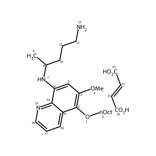 CCCCCCCCOc1c(OC)cc(NC(C)CCCN)c2ncccc12.O=C(O)C=CC(=O)O